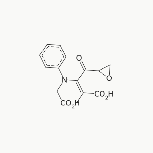 CC(C(=O)O)=C(C(=O)C1CO1)N(CC(=O)O)c1ccccc1